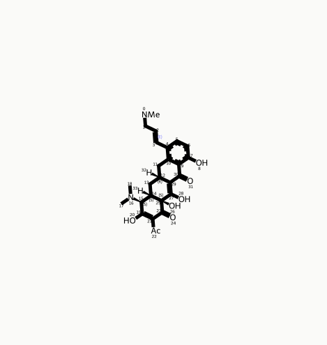 CNC/C=C/c1ccc(O)c2c1C[C@H]1C[C@H]3[C@H](N(C)C)C(O)=C(C(C)=O)C(=O)[C@@]3(O)C(O)=C1C2=O